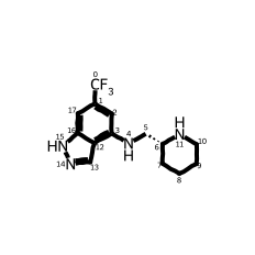 FC(F)(F)c1cc(NC[C@H]2CCCCN2)c2cn[nH]c2c1